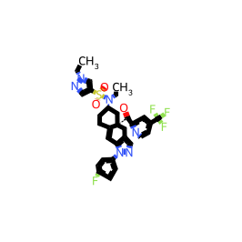 CCN([C@H]1CCC2=Cc3c(cnn3-c3ccc(F)cc3)C[C@]2(C(=O)c2cc(C(F)(F)F)ccn2)C1)S(=O)(=O)c1cnn(CC)c1